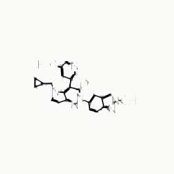 Cn1cc2cc(-n3nc4ccn(CC5CC5)c4c(-c4cncc(C(F)(F)F)c4)c3=O)ccc2n1